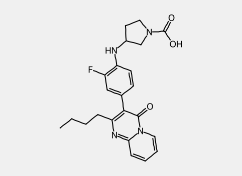 CCCCc1nc2ccccn2c(=O)c1-c1ccc(NC2CCN(C(=O)O)C2)c(F)c1